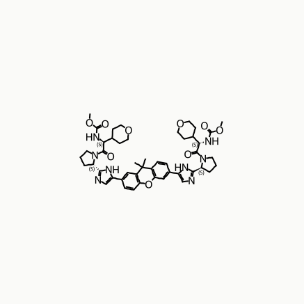 COC(=O)N[C@H](C(=O)N1CCC[C@H]1c1ncc(-c2ccc3c(c2)Oc2ccc(-c4cnc([C@@H]5CCCN5C(=O)[C@@H](NC(=O)OC)C5CCOCC5)[nH]4)cc2C3(C)C)[nH]1)C1CCOCC1